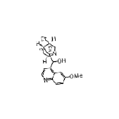 CC[C@H]1CN2CC[C@H]1C[C@@H]2C(O)c1ccnc2ccc(OC)cc12